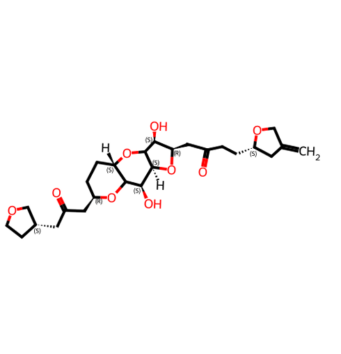 C=C1CO[C@@H](CCC(=O)C[C@H]2O[C@@H]3C(O[C@H]4CC[C@H](CC(=O)C[C@@H]5CCOC5)OC4[C@@H]3O)[C@H]2O)C1